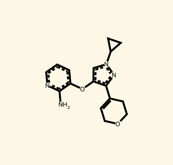 Nc1ncccc1Oc1cn(C2CC2)nc1C1=CCOCC1